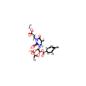 CCOC(=O)/C=C/n1c(=O)c(C)cn([C@H](O)C(OC(C)=O)OC(=O)c2ccc(C)cc2)c1=O